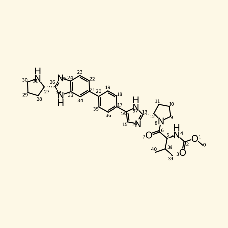 COC(=O)N[C@H](C(=O)N1CCC[C@H]1c1ncc(-c2ccc(-c3ccc4nc([C@@H]5CCCN5)[nH]c4c3)cc2)[nH]1)C(C)C